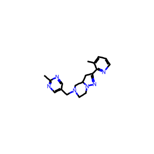 Cc1ncc(CN2CCN3N=C(c4ncccc4C)CC3C2)cn1